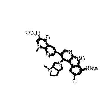 CNc1cc(Cl)cc2c1[nH]c1ncc(-c3cnc4c(c3)c(=O)c(C(=O)O)cn4C)c(N3CC4CCN(C)C4C3)c12